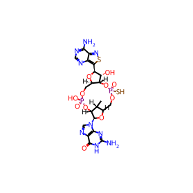 C[C@H]1[C@H]2OP(=O)(O)OC[C@H]3O[C@@H](c4snc5c(N)ncnc45)[C@H](O)[C@@H]3O[P@@](=O)(S)OC[C@H]1O[C@H]2n1cnc2c(=O)[nH]c(N)nc21